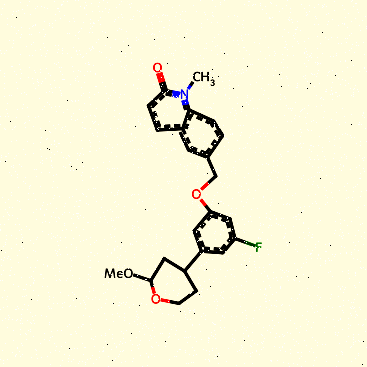 COC1CC(c2cc(F)cc(OCc3ccc4c(ccc(=O)n4C)c3)c2)CCO1